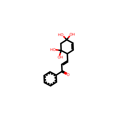 O=C(C=CC1C=CC(O)(O)CC1(O)O)c1ccccc1